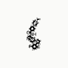 CCN1CCN(c2ccc(C(=O)Nc3cnn4ccc(N5CCCC5c5cc(F)ccc5F)nc34)cc2)CC1